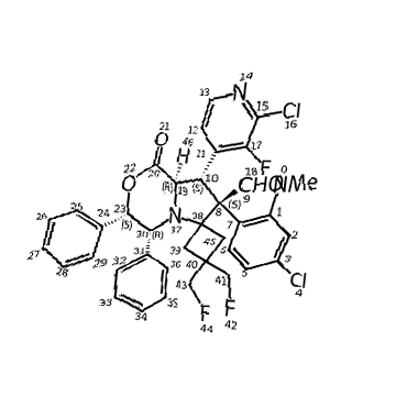 CNc1cc(Cl)ccc1[C@@]1(C=O)[C@@H](c2ccnc(Cl)c2F)[C@@H]2C(=O)O[C@@H](c3ccccc3)[C@@H](c3ccccc3)N2C12CC(CF)(CF)C2